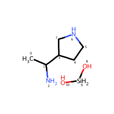 CC(N)C1CCNC1.O[SiH2]O